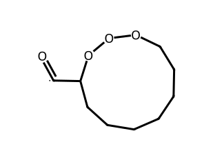 O=[C]C1CCCCCCCOOO1